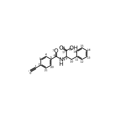 [C]#Cc1ccc(C(=O)NC(Cc2ccccc2)C(=O)O)cc1